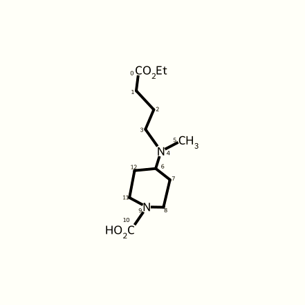 CCOC(=O)CCCN(C)C1CCN(C(=O)O)CC1